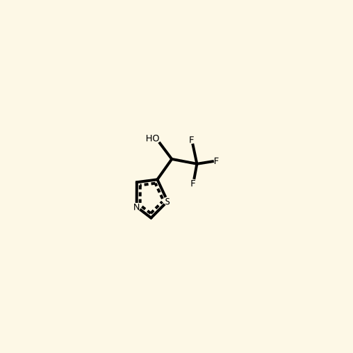 OC(c1cncs1)C(F)(F)F